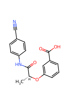 C[C@@H](Oc1cccc(C(=O)O)c1)C(=O)Nc1ccc(C#N)cc1